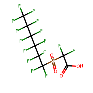 O=C(O)C(F)(F)S(=O)(=O)C(F)(F)C(F)(F)C(F)(F)C(F)(F)C(F)(F)C(F)(F)F